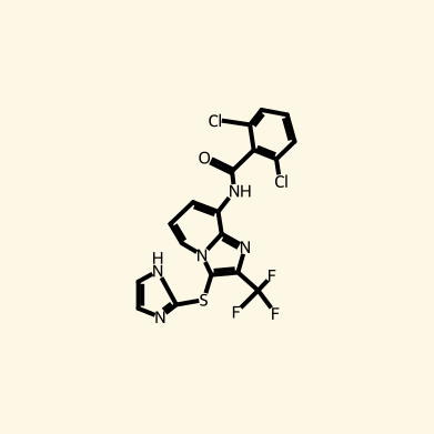 O=C(Nc1cccn2c(Sc3ncc[nH]3)c(C(F)(F)F)nc12)c1c(Cl)cccc1Cl